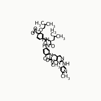 Cc1ccc(Nc2ncc3c(n2)N(C)C(=O)N(c2cc(NC(=O)[C@H](CC(C)C)NC(=O)c4ccc([N+](=O)[O-])c(OCC(C)C)c4)ccc2C)C3)cn1